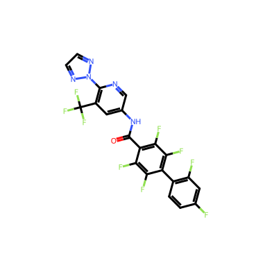 O=C(Nc1cnc(-n2nccn2)c(C(F)(F)F)c1)c1c(F)c(F)c(-c2ccc(F)cc2F)c(F)c1F